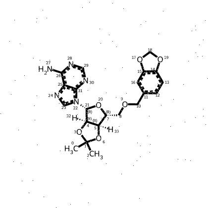 CC1(C)O[C@@H]2[C@H](O1)[C@@H](COCc1ccc3c(c1)OCO3)O[C@H]2n1cnc2c(N)ncnc21